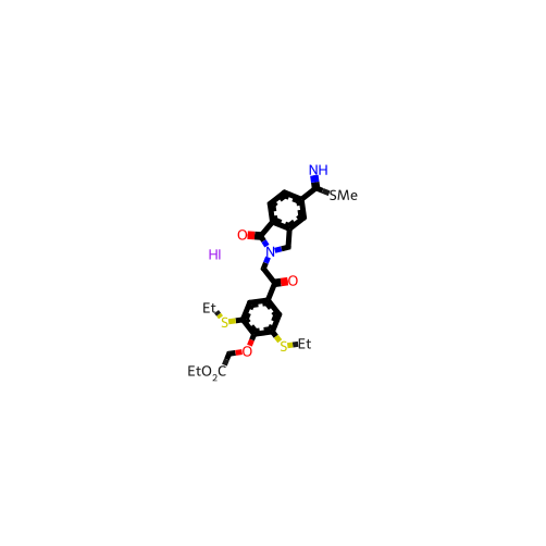 CCOC(=O)COc1c(SCC)cc(C(=O)CN2Cc3cc(C(=N)SC)ccc3C2=O)cc1SCC.I